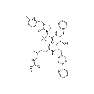 COC(=O)NCC(C)CCC(=O)NC(Cc1ccc(-c2ccccn2)cc1)CC(O)C(Cc1ccccc1)NC(=O)C(N1CCN(Cc2cccc(C)n2)C1=O)C(C)(C)C